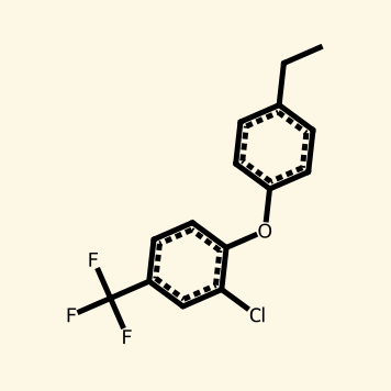 CCc1ccc(Oc2ccc(C(F)(F)F)cc2Cl)cc1